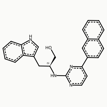 OC[C@H](Cc1c[nH]c2ccccc12)Nc1nccc(-c2ccc3ccccc3c2)n1